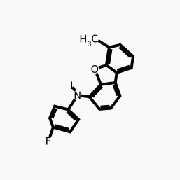 Cc1cccc2c1oc1c(N(I)c3ccc(F)cc3)cccc12